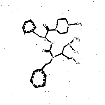 CC(=O)SCC(CN(C)C)N(CCc1ccccc1)C(=O)N[C@@H](Cc1ccccc1)C(=O)N1CCN(C)CC1